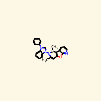 CB1c2c(oc3ncccc23)C=C(C)N1N1CN(c2ccccc2)c2ccccc21